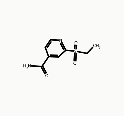 CCS(=O)(=O)c1cc(C(N)=O)ccn1